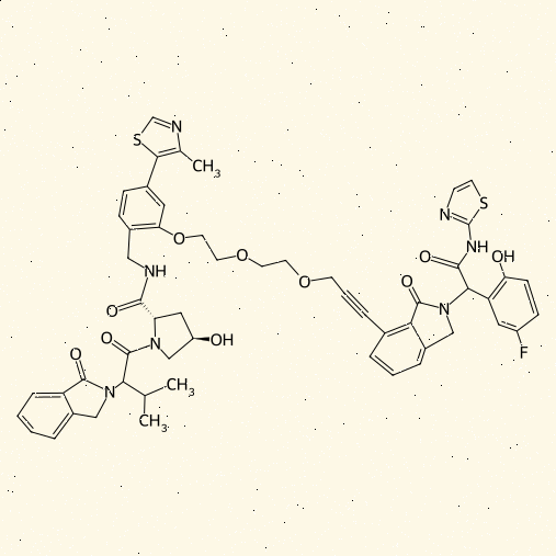 Cc1ncsc1-c1ccc(CNC(=O)[C@@H]2C[C@@H](O)CN2C(=O)C(C(C)C)N2Cc3ccccc3C2=O)c(OCCOCCOCC#Cc2cccc3c2C(=O)N(C(C(=O)Nc2nccs2)c2cc(F)ccc2O)C3)c1